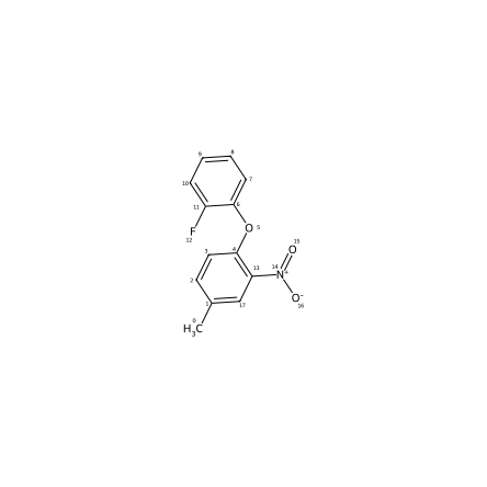 Cc1ccc(Oc2ccccc2F)c([N+](=O)[O-])c1